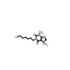 Cn1cnc2c1c(=O)n(CCCCCCCl)c(=O)n2C